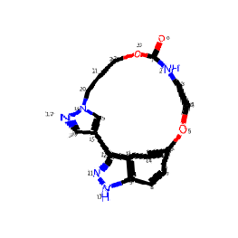 O=C1NCCOc2ccc3[nH]nc(c3c2)-c2cnn(c2)CCCO1